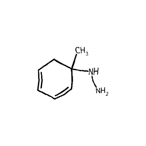 CC1(NN)C=CC=CC1